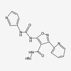 CCCCNC(=O)c1c(-c2ccccn2)noc1NC(=O)Nc1cccnc1